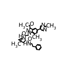 CC(=O)c1nn(CC(=O)N2[C@H](C(=O)NCCc3ccccc3)C[C@@]3(C)C[C@@H]23)c2c(C)cc(-c3cnc(C)nc3)cc12